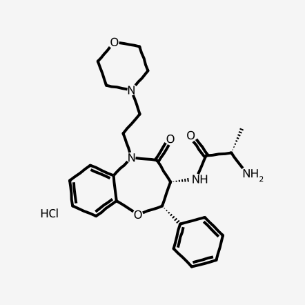 C[C@H](N)C(=O)N[C@H]1C(=O)N(CCN2CCOCC2)c2ccccc2O[C@H]1c1ccccc1.Cl